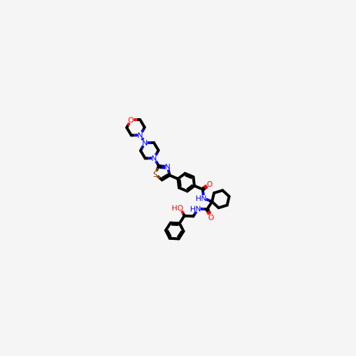 O=C(NC1(C(=O)NCC(O)c2ccccc2)CCCCC1)c1ccc(-c2csc(N3CCN(N4CCOCC4)CC3)n2)cc1